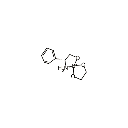 c1ccc([C@@H]2CO[B-]3([NH2+]2)OCCO3)cc1